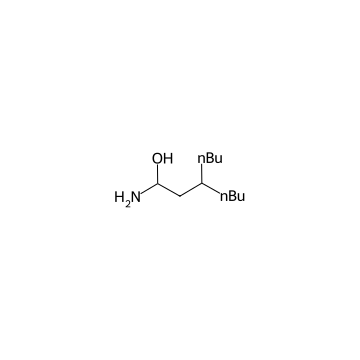 CCCCC(CCCC)CC(N)O